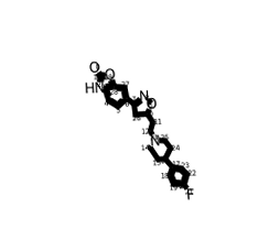 O=c1[nH]c2ccc(C3=NOC(CCN4CCC(c5ccc(F)cc5)CC4)C3)cc2o1